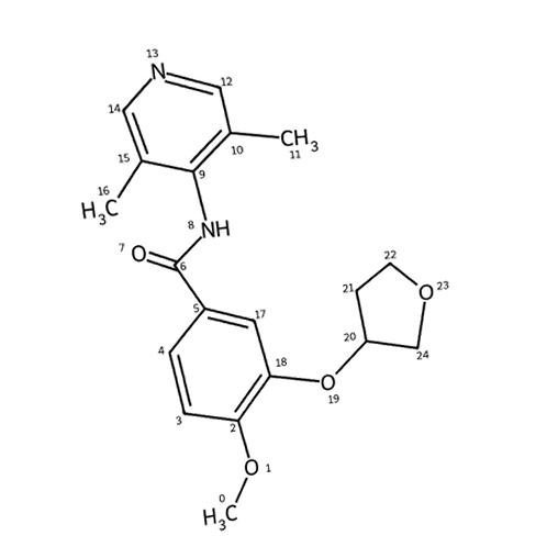 COc1ccc(C(=O)Nc2c(C)cncc2C)cc1OC1CCOC1